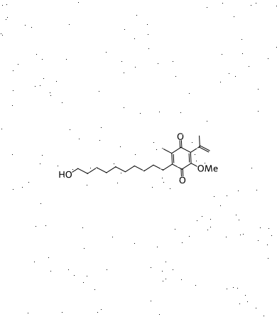 C=C(C)C1=C(OC)C(=O)C(CCCCCCCCCCO)=C(C)C1=O